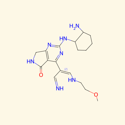 COCCN/C=C(\C=N)c1nc(NC2CCCCC2N)nc2c1C(=O)NC2